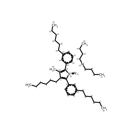 CCCCCCC1=C(c2cccc(CCCCCC)c2)[N+](=[N-])C(c2cccc(CCCCCC)c2)=C1C.CCC[CH2][Ni][CH2]CCC